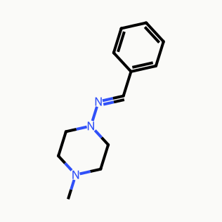 CN1CCN(N=Cc2ccccc2)CC1